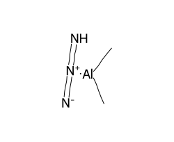 [CH3][Al][CH3].[N-]=[N+]=N